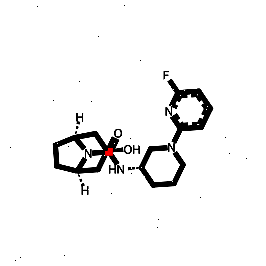 O=C(N[C@H]1CCCN(c2cccc(F)n2)C1)N1[C@@H]2CC[C@H]1C[C@@H](O)C2